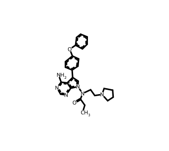 CCC(=O)N(CCN1CCCC1)n1cc(-c2ccc(Oc3ccccc3)cc2)c2c(N)ncnc21